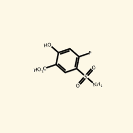 NS(=O)(=O)c1cc(C(=O)O)c(O)cc1F